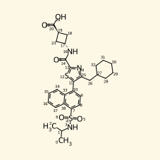 CC(C)NS(=O)(=O)c1ccc(-c2sc(C(=O)N[C@H]3C[C@H](C(=O)O)C3)nc2CC2CCCCC2)c2ccccc12